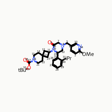 COc1ccc(CN2CC(=O)N(C3CC4(CCN(C(=O)OC(C)(C)C)CC4)C3)C(c3ccccc3C(C)C)C2)cn1